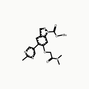 Cc1ncc(-c2cc3cnn(C(=O)OC(C)(C)C)c3cc2OCC(=O)N(C)C)cn1